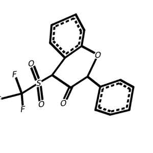 O=C1C(c2ccccc2)Oc2ccccc2C1S(=O)(=O)C(F)(F)F